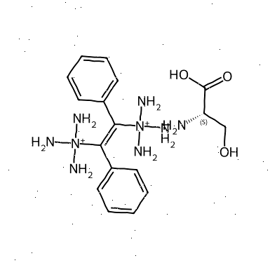 N[C@@H](CO)C(=O)O.N[N+](N)(N)C(=C(c1ccccc1)[N+](N)(N)N)c1ccccc1